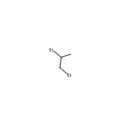 CC[C]C(C)CC